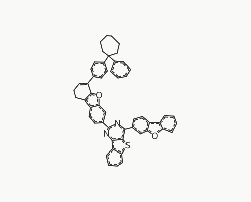 C1=C(c2ccc(C3(c4ccccc4)CCCCCC3)cc2)c2oc3cc(-c4nc(-c5ccc6c(c5)oc5ccccc56)c5sc6ccccc6c5n4)ccc3c2CC1